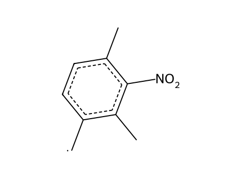 [CH2]c1ccc(C)c([N+](=O)[O-])c1C